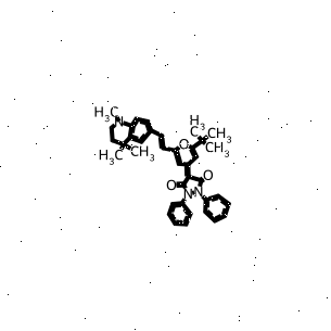 CN1CCC(C)(C)c2cc(C=CC3=CC(=C4C(=O)N(c5ccccc5)N(c5ccccc5)C4=O)C=C(C(C)(C)C)O3)ccc21